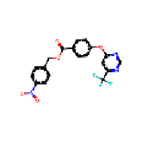 O=C(OCc1ccc([N+](=O)[O-])cc1)c1ccc(Oc2cc(C(F)(F)F)ncn2)cc1